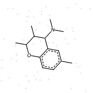 Cc1ccc2c(c1)C(N(C)C)C(C)C(C)O2